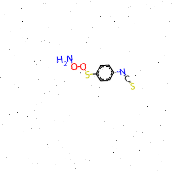 NOOSc1ccc(N=C=S)cc1